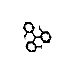 Ic1ccccc1C(c1ccccc1I)c1ccccc1I